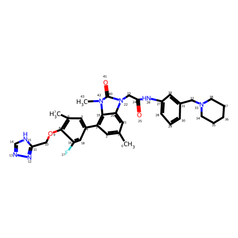 Cc1cc(-c2cc(C)c(OCc3nnc[nH]3)c(F)c2)c2c(c1)n(CC(=O)Nc1cccc(CN3CCCCC3)c1)c(=O)n2C